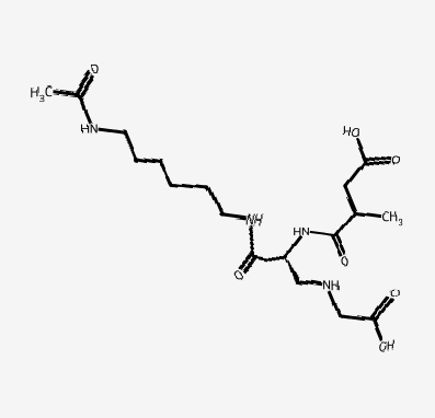 CC(=O)NCCCCCCNC(=O)[C@H](CNCC(=O)O)NC(=O)C(C)CC(=O)O